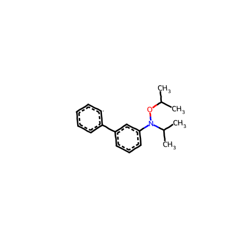 CC(C)ON(c1cccc(-c2[c]cccc2)c1)C(C)C